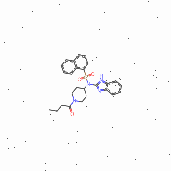 CCCC(=O)N1CCC(N(c2nc3ccccc3[nH]2)S(=O)(=O)c2cccc3ccccc23)CC1